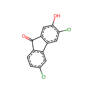 O=C1c2ccc(Cl)cc2-c2cc(Cl)c(O)cc21